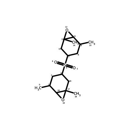 CC1CC(S(=O)(=O)C2CC(C)C3OC3(C)C2)CC2(C)OC12